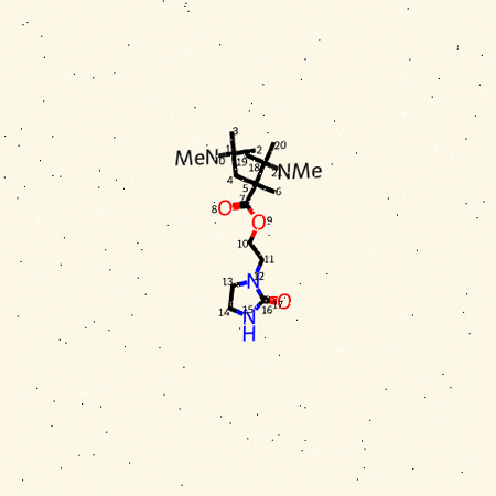 CNC(C)(C)CC(C)(C(=O)OCCN1CCNC1=O)C(C)(C)NC